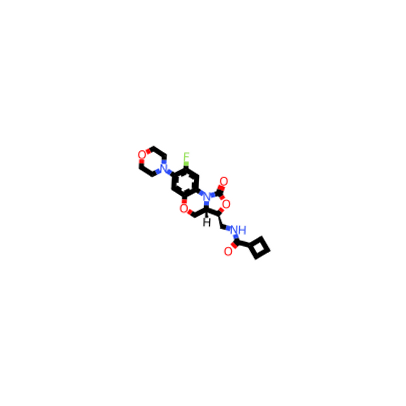 O=C(NC[C@@H]1OC(=O)N2c3cc(F)c(N4CCOCC4)cc3OC[C@@H]12)C1CCC1